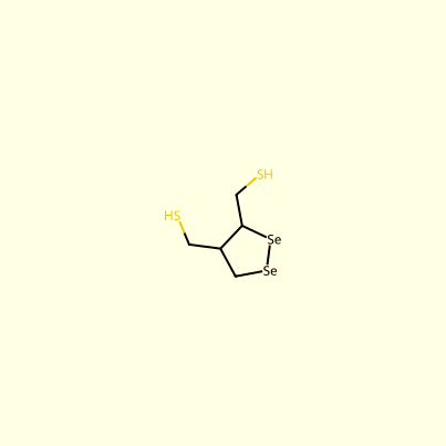 SCC1C[Se][Se]C1CS